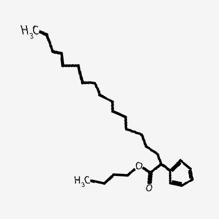 CCCCCCCCCCCCCCCCC(C(=O)OCCCC)c1ccccc1